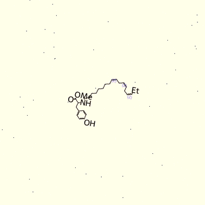 CC/C=C\C/C=C\C/C=C\CCCCCCCCNC(Cc1ccc(O)cc1)C(=O)OC